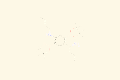 CCCCNc1cc(B2OC(C)(C)C(C)(C)O2)c(C(N)CCC)cc1B1OC(C)(C)C(C)(C)O1